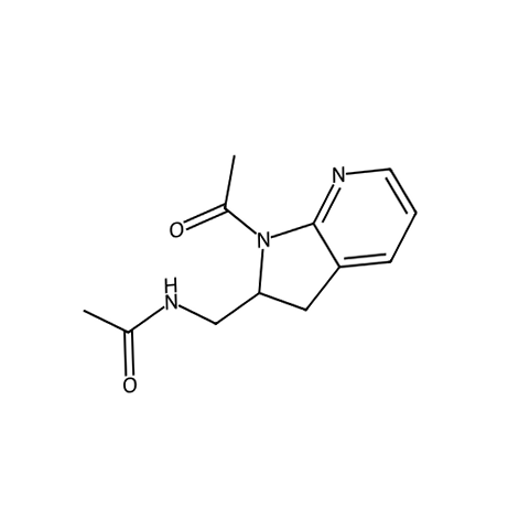 CC(=O)NCC1Cc2cccnc2N1C(C)=O